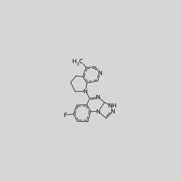 Cc1cncc2c1CCCN2C1=NC2NN=CN2c2ccc(F)cc21